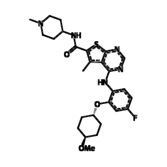 CO[C@H]1CC[C@H](Oc2cc(F)ccc2Nc2ncnc3sc(C(=O)NC4CCN(C)CC4)c(C)c23)CC1